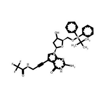 CC(C)(C)[Si](OC[C@H]1O[C@@H](n2cc(C#CCNC(=O)C(F)(F)F)c3c(=O)[nH]c(N)nc32)CC1O)(c1ccccc1)c1ccccc1